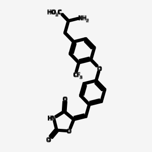 NC(Cc1ccc(Oc2ccc(C=C3OC(=O)NC3=O)cc2)c(C(F)(F)F)c1)C(=O)O